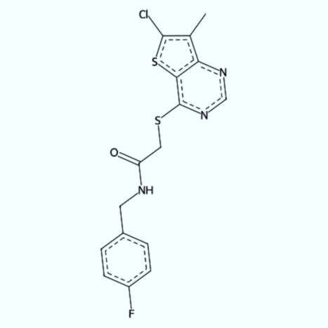 Cc1c(Cl)sc2c(SCC(=O)NCc3ccc(F)cc3)ncnc12